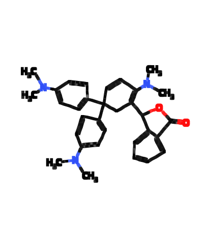 CN(C)C1=C(C2OC(=O)c3ccccc32)CC(c2ccc(N(C)C)cc2)(c2ccc(N(C)C)cc2)C=C1